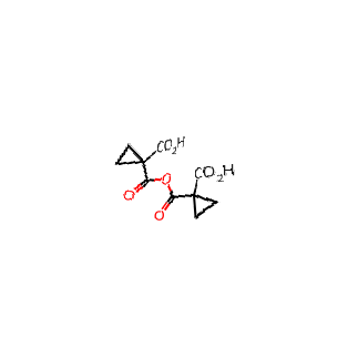 O=C(O)C1(C(=O)OC(=O)C2(C(=O)O)CC2)CC1